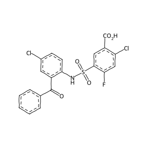 O=C(O)c1cc(S(=O)(=O)Nc2ccc(Cl)cc2C(=O)c2ccccc2)c(F)cc1Cl